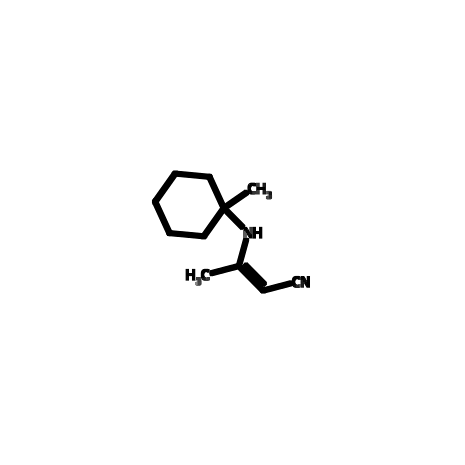 C/C(=C/C#N)NC1(C)CCCCC1